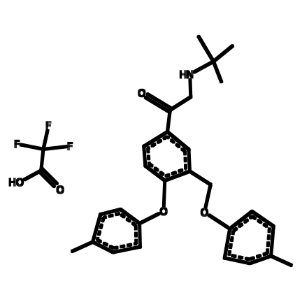 Cc1ccc(OCc2cc(C(=O)CNC(C)(C)C)ccc2Oc2ccc(C)cc2)cc1.O=C(O)C(F)(F)F